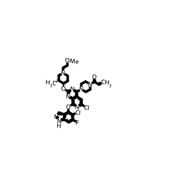 C=CC(=O)N1CCN(c2nc(O[C@@H]3CCN(CCOC)C[C@H]3C)nc3c(Oc4c(Cl)c(F)cc5[nH]ncc45)nc(Cl)cc23)CC1